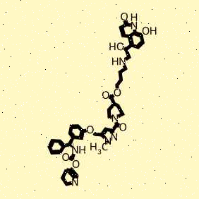 Cn1nc(C(=O)N2CCC(C(=O)OCCCCNCC(O)c3ccc(O)c4[nH]c(=O)ccc34)CC2)cc1COc1cccc([C@@H](NC(=O)OC2CN3CCC2CC3)c2ccccc2)c1